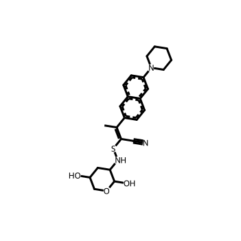 C/C(=C(/C#N)SNC1CC(O)COC1O)c1ccc2cc(N3CCCCC3)ccc2c1